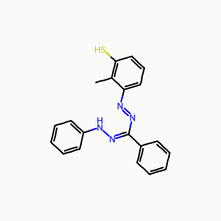 Cc1c(S)cccc1N=NC(=NNc1ccccc1)c1ccccc1